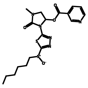 CCCCCC[S+]([O-])c1nnc(N2C(=O)N(C)CC2OC(=O)c2cccnc2)s1